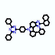 c1ccc(-c2nc(-c3ccccc3)nc(-c3ccc(-n4c5cccc6c7ccccc7n7c(-c8cccc9ccccc89)nc8ccc4c(c65)c87)cc3)n2)cc1